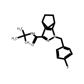 CC(C)(C)NC(=O)c1nn(Cc2ccc(F)cc2)c2c1C1CCC2C1